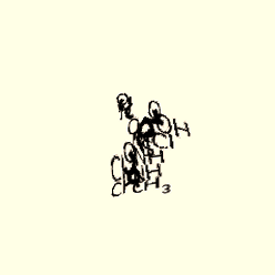 Cc1[nH]c(C(=O)Nc2nc3c(OCCN4CCOCC4)cc(C(=O)O)cc3s2)c(Cl)c1Cl.Cl